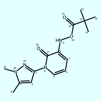 Cc1cc(-n2cccc(NOC(=O)C(C)(C)C)c2=O)nn1C